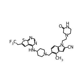 Cc1c(CN2CCC(Nc3ncnc4sc(CC(F)(F)F)cc34)CC2)ccc2c1cc(C#N)n2CCN1CCNC(=O)C1